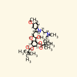 COc1ccc2c(c1)c(C=C1Oc3cc(OC(=O)C(C)(C)C)cc(OC(=O)C(C)(C)C)c3C1=O)cn2CCCN(C)C